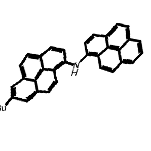 CC(C)(C)c1cc2ccc3ccc(Nc4ccc5ccc6cccc7ccc4c5c67)c4ccc(c1)c2c34